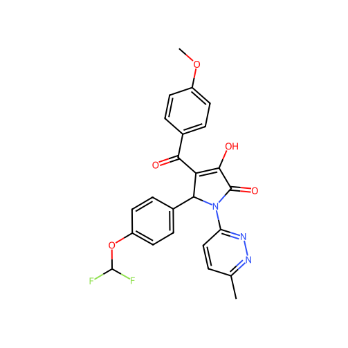 COc1ccc(C(=O)C2=C(O)C(=O)N(c3ccc(C)nn3)C2c2ccc(OC(F)F)cc2)cc1